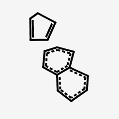 C1=CCC=C1.c1ccc2ccccc2c1